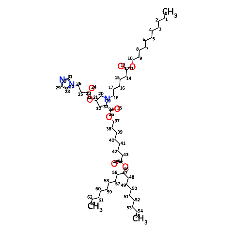 CCCCCCCCCCCOC(=O)CCCCCN1CC(OC(=O)CCn2ccnc2)C[C@H]1C(=O)OCCCCCCCC(=O)OC(CCCCCCCC)CCCCCCCC